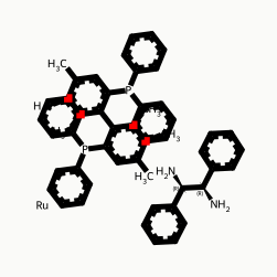 Cc1cc(P(c2ccccc2)c2ccccc2)c(-c2c(P(c3ccccc3)c3ccccc3)cc(C)c(C)c2C)c(C)c1C.N[C@H](c1ccccc1)[C@H](N)c1ccccc1.[Ru]